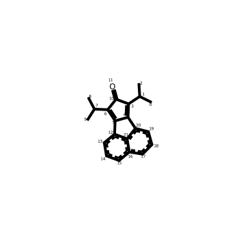 CC(C)C1=C2C(=C(C(C)C)C1=O)c1cccc3cccc2c13